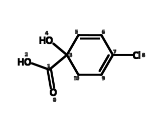 O=C(O)C1(O)C=CC(Cl)=CC1